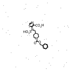 O=C(O)c1ncsc1N(CC1CCN(C(=O)OCc2ccccc2)CC1)S(=O)(=O)O